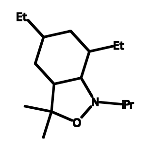 CCC1CC(CC)C2C(C1)C(C)(C)ON2C(C)C